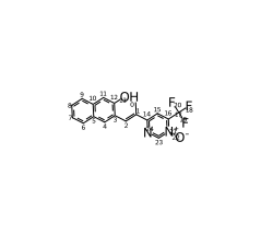 CC(=Cc1cc2ccccc2cc1O)c1cc(C(F)(F)F)[n+]([O-])cn1